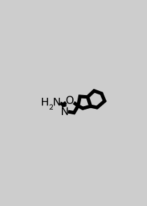 NC1=NCC2(CC3CCCCC3C2)O1